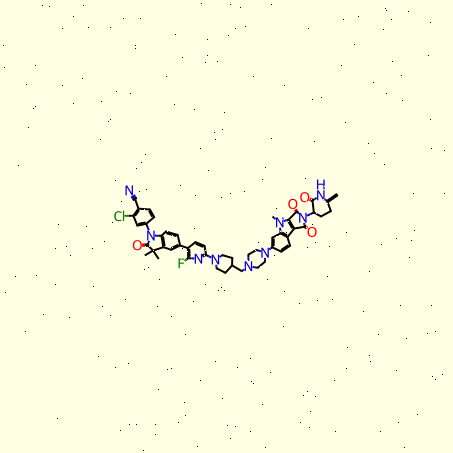 C=C1CCC(N2C(=O)c3c(n(C)c4cc(N5CCN(CC6CCN(c7ccc(-c8ccc9c(c8)C(C)(C)C(=O)N9c8ccc(C#N)c(Cl)c8)c(F)n7)CC6)CC5)ccc34)C2=O)C(=O)N1